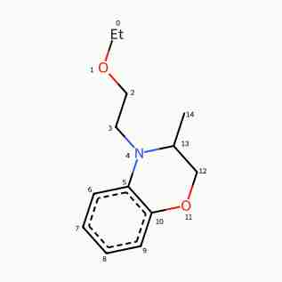 CCOCCN1c2ccccc2OCC1C